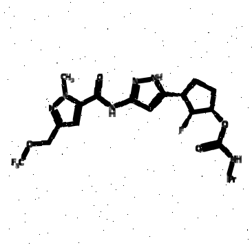 CC(C)NC(=O)O[C@@H]1CC[C@H](c2cc(NC(=O)c3cc(COC(F)(F)F)nn3C)n[nH]2)[C@@H]1F